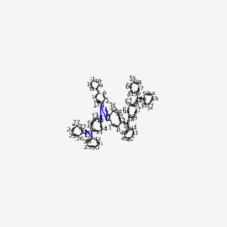 C1=CC(N(c2ccc(-c3ccccc3)cc2)c2ccc(N(c3ccccc3)c3ccccc3)cc2)CC=C1C(c1ccccc1)c1ccc(C(c2ccccc2)c2ccccc2)cc1